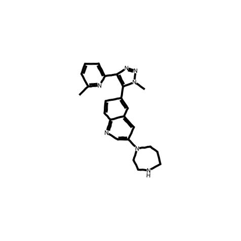 Cc1cccc(-c2nnn(C)c2-c2ccc3ncc(N4CCCNCC4)cc3c2)n1